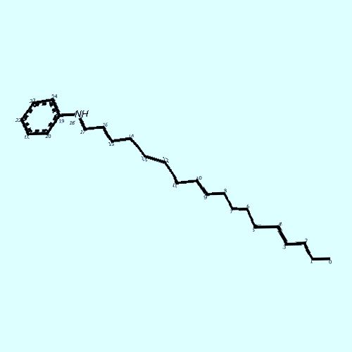 CCCCCCCCCCCCCCCCCCNc1ccccc1